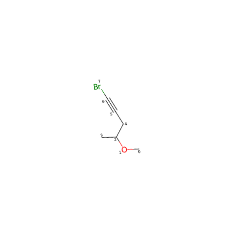 COC(C)CC#CBr